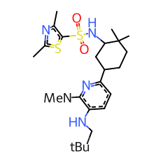 CNc1nc(C2CCC(C)(C)C(NS(=O)(=O)c3sc(C)nc3C)C2)ccc1NCC(C)(C)C